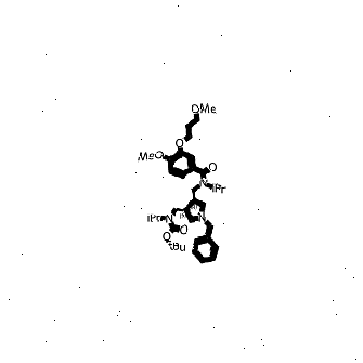 COCCCOc1cc(C(=O)N(C[C@H]2CN(Cc3ccccc3)C[C@H]2CN(C(=O)OC(C)(C)C)C(C)C)C(C)C)ccc1OC